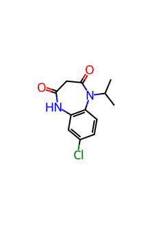 CC(C)N1C(=O)CC(=O)Nc2cc(Cl)ccc21